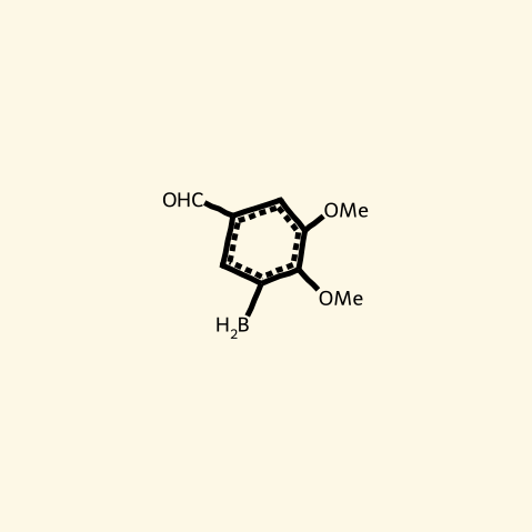 Bc1cc(C=O)cc(OC)c1OC